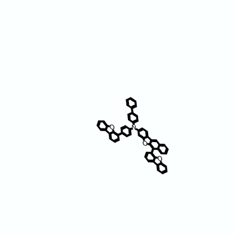 c1ccc(-c2ccc(N(c3ccc(-c4cccc5c4oc4ccccc45)cc3)c3ccc4c(c3)oc3c(-c5cccc6c5oc5ccccc56)c5ccccc5cc34)cc2)cc1